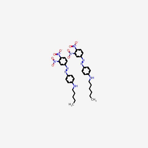 CCCCCCNc1ccc(N=Nc2ccc([N+](=O)[O-])c([N+](=O)[O-])c2)cc1.CCCCCNc1ccc(N=Nc2ccc([N+](=O)[O-])c([N+](=O)[O-])c2)cc1